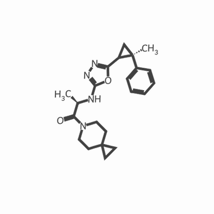 C[C@@H](Nc1nnc(C2C[C@@]2(C)c2ccccc2)o1)C(=O)N1CCC2(CC1)CC2